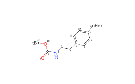 CCCCCCc1ccc(CCNC(=O)OC(C)(C)C)cc1